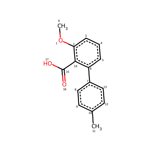 COc1cccc(-c2ccc(C)cc2)c1C(=O)O